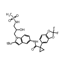 CC(C)(C)c1cc2cc(NC(=O)C3(c4ccc5c(c4)OC(F)(F)O5)CC3)ccc2n1CC(O)CNS(C)(=O)=O